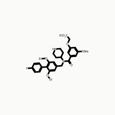 CCOC(=O)COc1cc(OC)cc(C(=O)N(Cc2cc(OCC)c(-c3ccc(F)cc3)c(OCC)c2)C2CCNCC2)c1